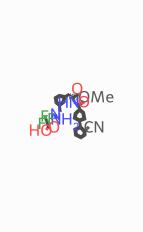 COC(=O)[C@H](Cc1cccc(C=NN)c1)NC(=O)c1ccc(-c2ccccc2C#N)cc1.O=C(O)C(F)(F)F